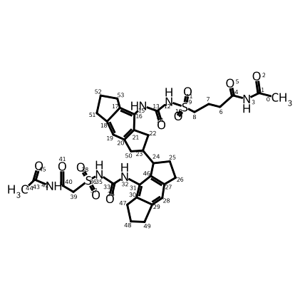 CC(=O)NC(=O)CCCS(=O)(=O)NC(=O)Nc1c2c(cc3c1CC(C1CCc4cc5c(c(NC(=O)NS(=O)(=O)CC(=O)NC(C)=O)c41)CCC5)C3)CCC2